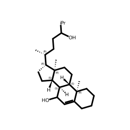 CC(C)C(O)CC[C@@H](C)[C@H]1CC[C@H]2[C@@H]3C(O)C=C4CCCC[C@]4(C)[C@H]3CC[C@]12C